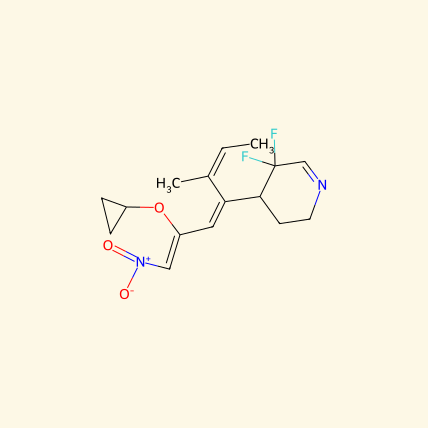 C\C=C(C)/C(=C\C(=C\[N+](=O)[O-])OC1CC1)C1CCN=CC1(F)F